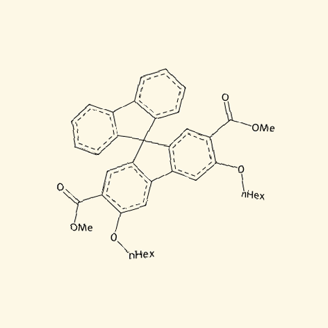 CCCCCCOc1cc2c(cc1C(=O)OC)C1(c3ccccc3-c3ccccc31)c1cc(C(=O)OC)c(OCCCCCC)cc1-2